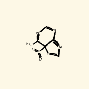 NC1=NC=NC2=NC=NC12P(=O)=O